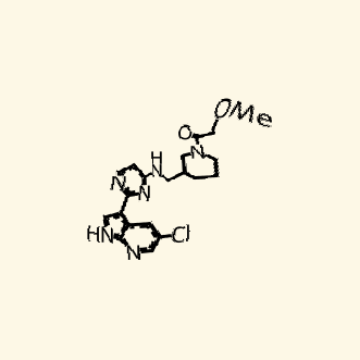 COCC(=O)N1CCCC(CNc2ccnc(-c3c[nH]c4ncc(Cl)cc34)n2)C1